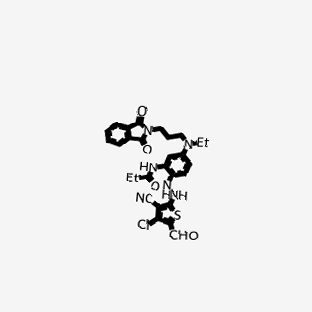 CCC(=O)Nc1cc(N(CC)CCCN2C(=O)c3ccccc3C2=O)ccc1NNc1sc(C=O)c(Cl)c1C#N